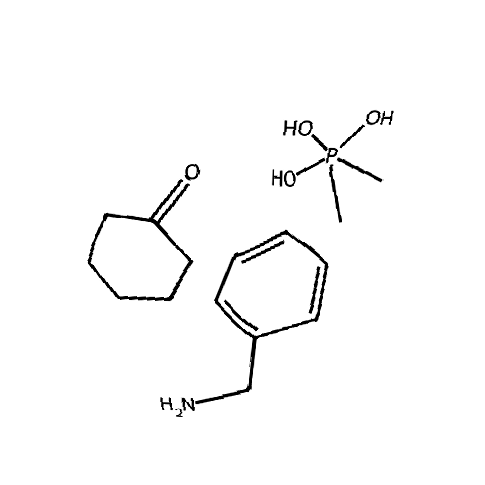 CP(C)(O)(O)O.NCc1ccccc1.O=C1CCCCC1